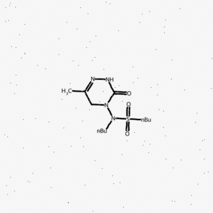 CCCCN(N1CC(C)=NNC1=O)S(=O)(=O)CCCC